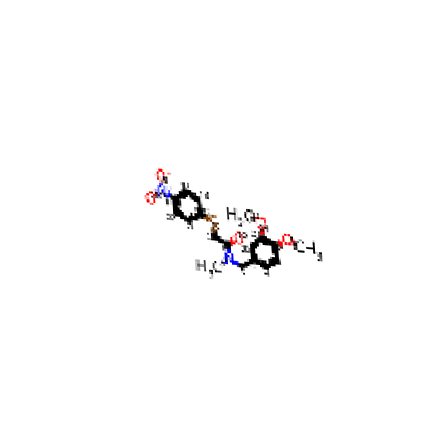 COc1ccc(CN(C)C(=O)CSc2ccc([N+](=O)[O-])cc2)cc1OC